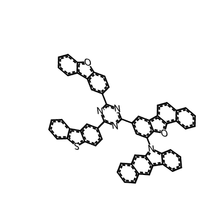 c1ccc2cc3c(cc2c1)c1ccccc1n3-c1cc(-c2nc(-c3ccc4oc5ccccc5c4c3)nc(-c3ccc4sc5ccccc5c4c3)n2)cc2c1oc1c3ccccc3ccc21